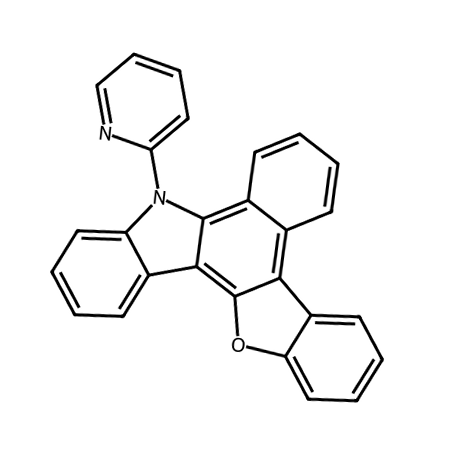 c1ccc(-n2c3ccccc3c3c4oc5ccccc5c4c4ccccc4c32)nc1